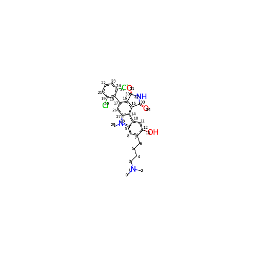 CN(C)CCCCc1cc2c(cc1O)c1c3c(c(-c4c(Cl)cccc4Cl)cc1n2C)C(=O)NC3=O